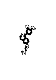 COc1ccc(C2=NCCc3cc(OCCN(C)C)ccc32)cc1OC